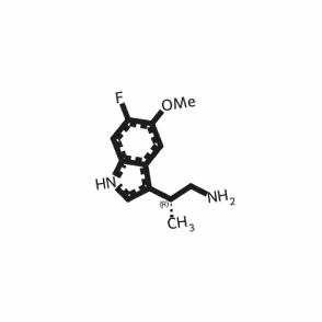 COc1cc2c([C@@H](C)CN)c[nH]c2cc1F